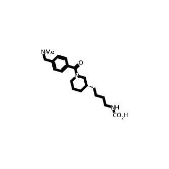 CNCc1ccc(C(=O)N2CCC[C@@H](CCCCNC(=O)O)C2)cc1